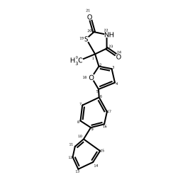 CC1(c2ccc(-c3ccc(-c4ccccc4)cc3)o2)SC(=O)NC1=O